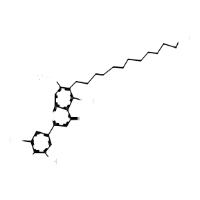 COc1cc2oc(-c3cc(O)c(O)c(O)c3)cc(=O)c2c(O)c1CCCCCCCCCCCCO